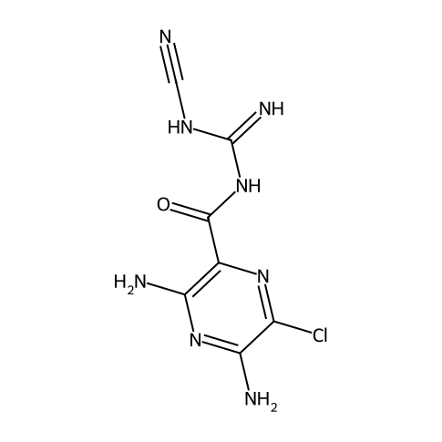 N#CNC(=N)NC(=O)c1nc(Cl)c(N)nc1N